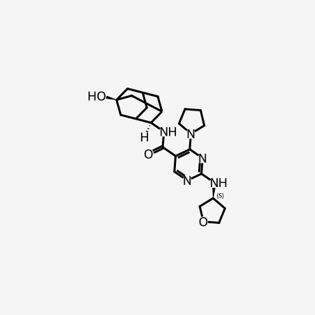 O=C(N[C@H]1C2CC3CC1C[C@@](O)(C3)C2)c1cnc(N[C@H]2CCOC2)nc1N1CCCC1